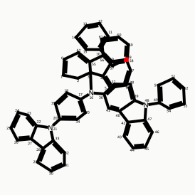 C1=CCC(c2ccccc2-c2ccccc2)(N(c2ccc(-n3c4ccccc4c4ccccc43)cc2)c2ccc3c(c2)c2ccccc2n3-c2ccccc2)C(c2ccccc2)=C1